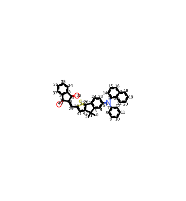 CC1(C)c2cc(N(c3ccccc3)c3cccc4ccccc34)ccc2-c2sc(C=C3C(=O)c4ccccc4C3=O)cc21